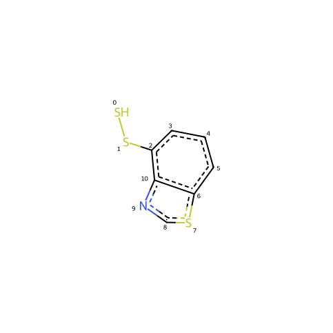 SSc1cccc2s[c]nc12